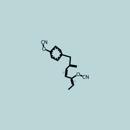 C=C(/C=C\C(=C/C)OC#N)Cc1ccc(OC#N)cc1